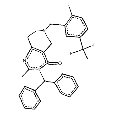 Cc1nc2c(c(=O)n1C(c1ccccc1)c1ccccc1)CN(Cc1cc(C(C)(F)F)ccc1F)CC2